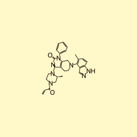 C=CC(=O)N1CCN(c2nc(=O)n(-c3ccccc3)c3c2CCN(c2c(C)ccc4[nH]ncc24)C3)[C@@H](C)C1